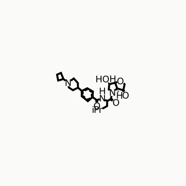 CC(C)CC(NC(=O)c1ccc(C2CCN(C3CCC3)CC2)cc1)C(=O)N1C[C@@H](O)[C@H]2OCC(=O)[C@H]21